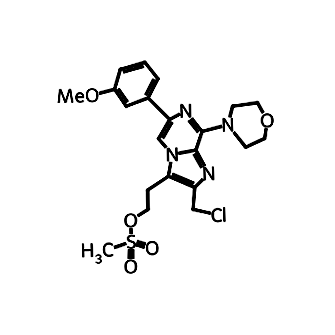 COc1cccc(-c2cn3c(CCOS(C)(=O)=O)c(CCl)nc3c(N3CCOCC3)n2)c1